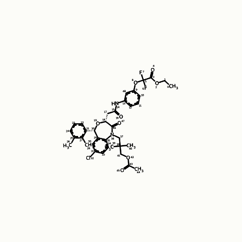 CCOC(=O)C(F)(F)Oc1cccc(NC(=O)C[C@H]2O[C@@H](c3cccc(C)c3C)c3cc(Cl)ccc3N(CC(C)(C)COC(C)=O)C2=O)c1